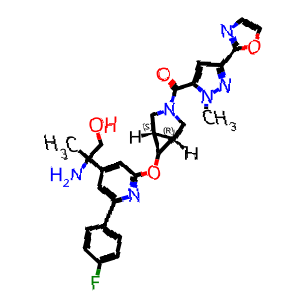 Cn1nc(-c2ncco2)cc1C(=O)N1C[C@@H]2C(Oc3cc(C(C)(N)CO)cc(-c4ccc(F)cc4)n3)[C@@H]2C1